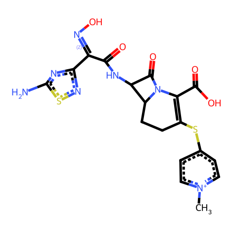 C[n+]1ccc(SC2=C(C(=O)O)N3C(=O)C(NC(=O)/C(=N\O)c4nsc(N)n4)C3CC2)cc1